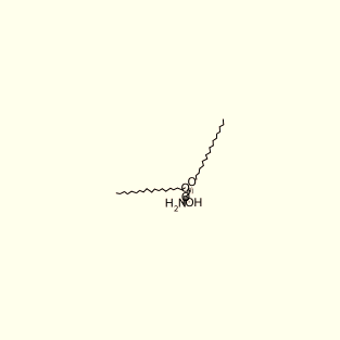 CCCCCCCCCCCCCCCCCCOC[C@H](COP(N)O)OCCCCCCCCCCCCCCCCCC